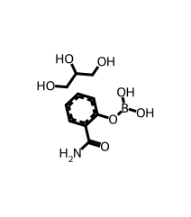 NC(=O)c1ccccc1OB(O)O.OCC(O)CO